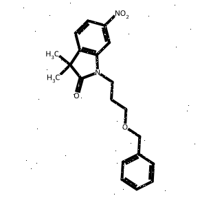 CC1(C)C(=O)N(CCCOCc2ccccc2)c2cc([N+](=O)[O-])ccc21